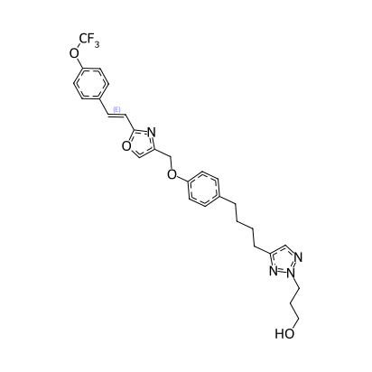 OCCCn1ncc(CCCCc2ccc(OCc3coc(/C=C/c4ccc(OC(F)(F)F)cc4)n3)cc2)n1